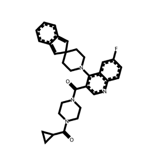 O=C(c1cnc2ccc(F)cc2c1N1CCC2(C=c3ccccc3=C2)CC1)N1CCN(C(=O)C2CC2)CC1